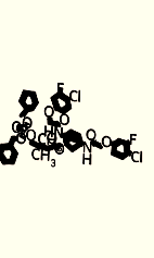 CC(C)(COP(=O)(OCc1ccccc1)OCc1ccccc1)CC(=O)OC1CC2(NC(=O)COc3ccc(Cl)c(F)c3)CCC1(NC(=O)COc1ccc(Cl)c(F)c1)CC2